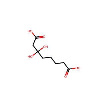 O=C(O)CCCCC(O)(O)CC(=O)O